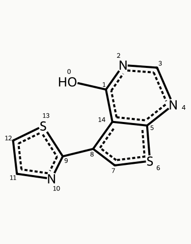 Oc1ncnc2scc(-c3nccs3)c12